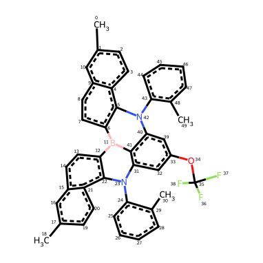 Cc1ccc2c3c(ccc2c1)B1c2ccc4cc(C)ccc4c2N(c2ccccc2C)c2cc(OC(F)(F)F)cc(c21)N3c1ccccc1C